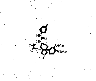 COc1ccc(C23CCC(NC(=O)Nc4ccc(I)cc4)CC2CN(C)C3)cc1OC.O=C(O)C(F)(F)F